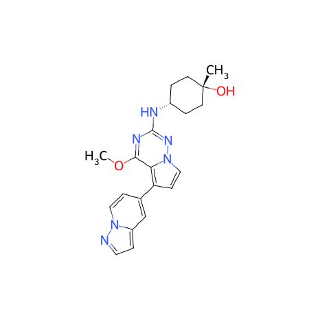 COc1nc(N[C@H]2CC[C@@](C)(O)CC2)nn2ccc(-c3ccn4nccc4c3)c12